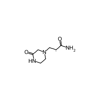 NC(=O)[CH]CN1CCNC(=O)C1